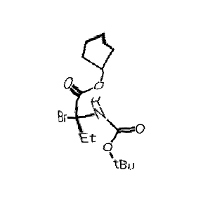 CCC(Br)(NC(=O)OC(C)(C)C)C(=O)OC1CCCC1